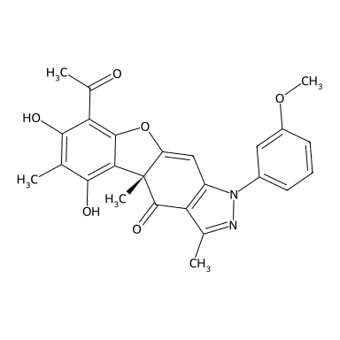 COc1cccc(-n2nc(C)c3c2C=C2Oc4c(C(C)=O)c(O)c(C)c(O)c4[C@@]2(C)C3=O)c1